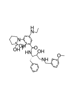 CCNc1cc(C(=O)N[C@@H](Cc2ccccc2)[C@@H](O)CNCc2cccc(OC)c2)c(F)c(N2CCCCS2(O)O)c1